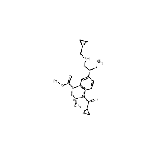 CC(C)OC(=O)N1C[C@H](C)N(C(=O)C2CC2)c2ccc(C(CN)CNCC3CC3)cc21